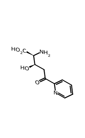 N[C@H](C(=O)O)[C@H](O)CC(=O)c1ccccn1